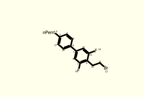 CCCCCc1ccc(-c2cc(F)c(CCBr)c(F)c2)cc1